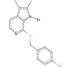 CCn1c(C)c(C)c2ccnc(SCc3ccc(Cl)cc3)c21